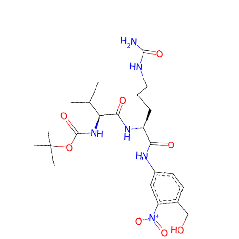 CC(C)[C@H](NC(=O)OC(C)(C)C)C(=O)N[C@@H](CCCNC(N)=O)C(=O)Nc1ccc(CO)c([N+](=O)[O-])c1